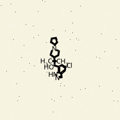 CC(C)(C1CCN(C2CCCC2)CC1)C(O)c1cc(Cl)cc2cn[nH]c12